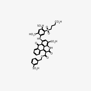 O=C(O)CCCS(=O)(=O)c1cc(Nc2cc(S(=O)(=O)O)c3[nH]c(=O)c(C(=O)OCc4cccc(S(=O)(=O)O)c4)c4c3c2C(=O)c2ccccc2-4)c(S(=O)(=O)O)cc1S(=O)(=O)O